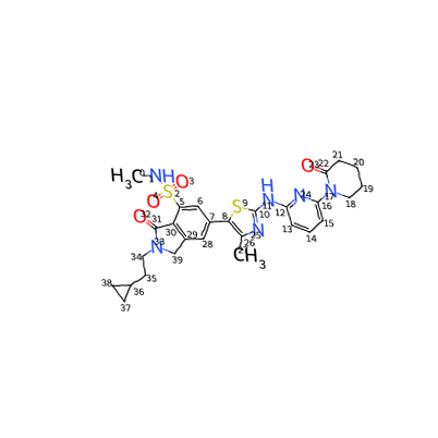 CNS(=O)(=O)c1cc(-c2sc(Nc3cccc(N4CCCCC4=O)n3)nc2C)cc2c1C(=O)N(CCC1CC1)C2